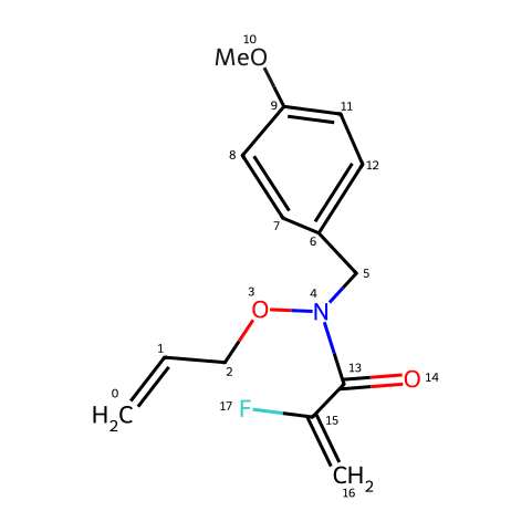 C=CCON(Cc1ccc(OC)cc1)C(=O)C(=C)F